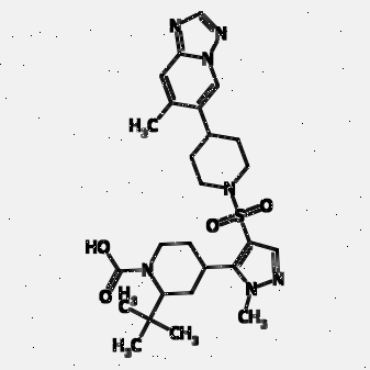 Cc1cc2ncnn2cc1C1CCN(S(=O)(=O)c2cnn(C)c2C2CCN(C(=O)O)C(C(C)(C)C)C2)CC1